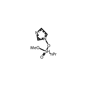 CCC[SH](=O)(OC)On1ccnc1